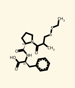 CCSSCC(C)C(=O)N1CCC[C@H]1C(=O)N[C@@H](Cc1ccccc1)C(=O)O